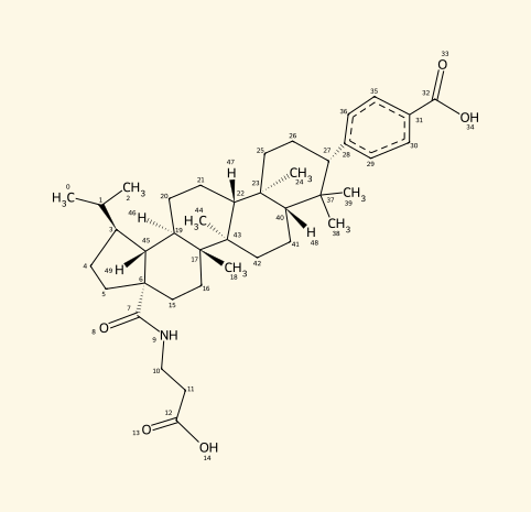 CC(C)[C@@H]1CC[C@]2(C(=O)NCCC(=O)O)CC[C@]3(C)[C@H](CC[C@@H]4[C@@]5(C)CC[C@H](c6ccc(C(=O)O)cc6)C(C)(C)[C@@H]5CC[C@]43C)[C@@H]12